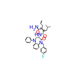 C=CC[C@H](C(N)=O)[C@@H](CC(C)C)C(=O)NC1CN(c2ccccc2)c2ccccc2N(Cc2ccc(F)cc2)C1=O